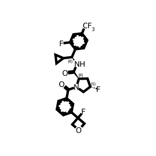 O=C(N[C@@H](c1ccc(C(F)(F)F)cc1F)C1CC1)[C@H]1C[C@H](F)CN1C(=O)c1cccc(C2(F)COC2)c1